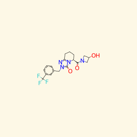 O=C([C@@H]1CCCc2nn(Cc3cccc(C(F)(F)F)c3)c(=O)n21)N1CC(O)C1